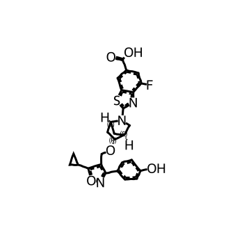 O=C(O)c1cc(F)c2nc(N3C[C@@H]4C[C@H]3C[C@H]4OCc3c(-c4ccc(O)cc4)noc3C3CC3)sc2c1